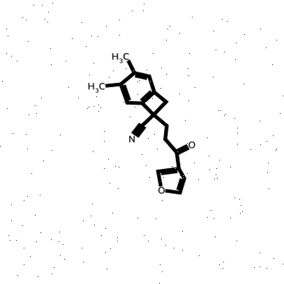 Cc1cc2c(cc1C)C(C#N)(CCC(=O)c1ccoc1)C2